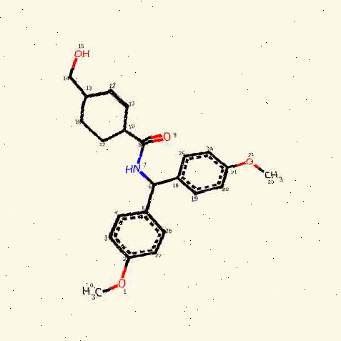 COc1ccc(C(NC(=O)C2CCC(CO)CC2)c2ccc(OC)cc2)cc1